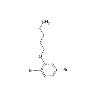 CCCCCOc1cc(Br)ccc1Br